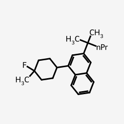 CCCC(C)(C)c1cc(C2CCC(C)(F)CC2)c2ccccc2c1